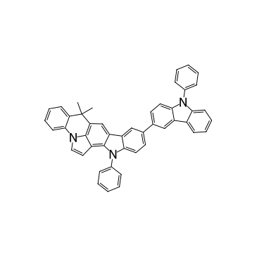 CC1(C)c2ccccc2-n2ccc3c2c1cc1c2cc(-c4ccc5c(c4)c4ccccc4n5-c4ccccc4)ccc2n(-c2ccccc2)c13